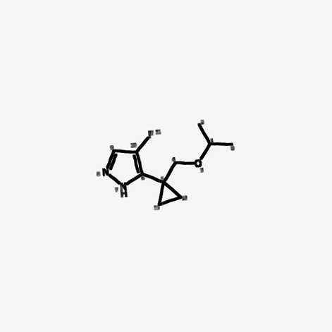 CC(C)OCC1(c2[nH]ncc2F)CC1